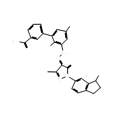 CC1=NN(c2ccc3c(c2)C(C)CC3)C(=O)/C1=N\Nc1cc(C)cc(-c2cccc(C(=O)O)c2)c1O